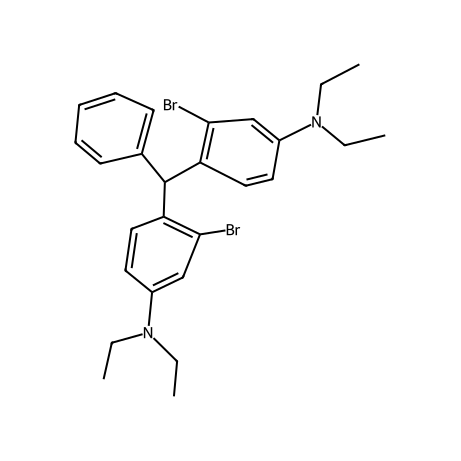 CCN(CC)c1ccc(C(c2ccccc2)c2ccc(N(CC)CC)cc2Br)c(Br)c1